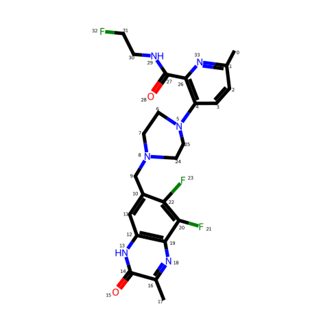 Cc1ccc(N2CCN(Cc3cc4[nH]c(=O)c(C)nc4c(F)c3F)CC2)c(C(=O)NCCF)n1